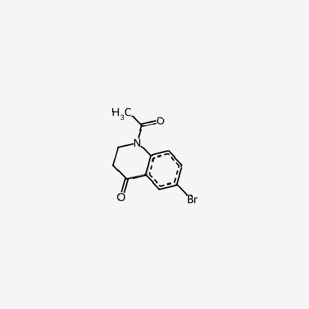 CC(=O)N1CCC(=O)c2cc(Br)ccc21